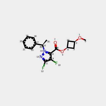 CO[C@H]1C[C@@H](OC(=O)c2c(F)c(F)nn2[C@H](C)c2ccccc2)C1